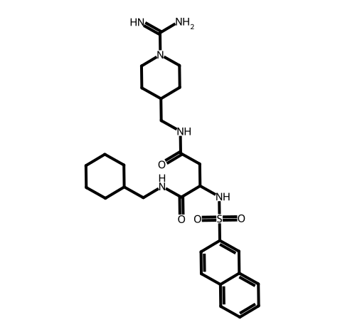 N=C(N)N1CCC(CNC(=O)CC(NS(=O)(=O)c2ccc3ccccc3c2)C(=O)NCC2CCCCC2)CC1